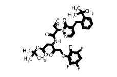 CCC(C(=O)NC(CC(=O)OC(C)(C)C)C(=O)COc1c(F)c(F)cc(F)c1F)n1nccc(Cc2ccccc2C(C)(C)C)c1=O